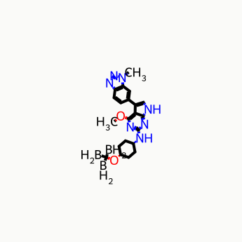 BC(B)(B)O[C@H]1CC[C@@H](Nc2nc(OC)c3c(-c4ccc5nnn(C)c5c4)c[nH]c3n2)CC1